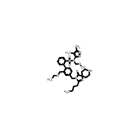 CCCCC1=NC2(CCNCC2)C(=O)N1Cc1ccc(-c2ccccc2S(=O)(=O)N(COC)c2noc(C)c2C)c(COCC)c1